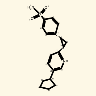 NS(=O)(=O)c1ccc([C@@H]2C[C@H]2c2ccc(C3CCCC3)cn2)cc1